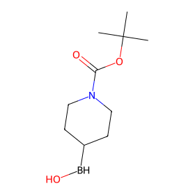 CC(C)(C)OC(=O)N1CCC(BO)CC1